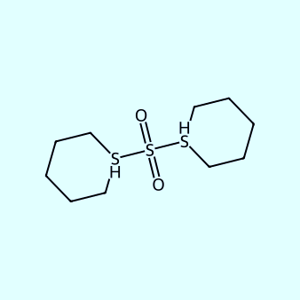 O=S(=O)([SH]1CCCCC1)[SH]1CCCCC1